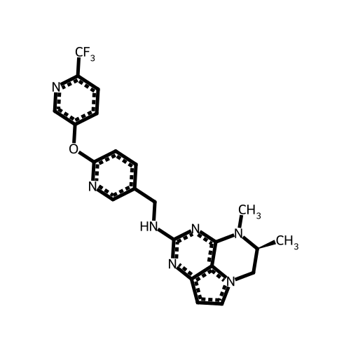 C[C@H]1Cn2ccc3nc(NCc4ccc(Oc5ccc(C(F)(F)F)nc5)nc4)nc(c32)N1C